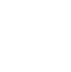 Ic1cc2ncncc2s1